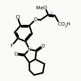 CO/C(=C/C(=O)O)COc1cc(N2C(=O)C3CCCCC3C2=O)c(F)cc1Cl